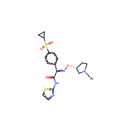 CC(=O)N1CC[C@@H](O/N=C(/C(=O)Nc2nccs2)c2ccc(S(=O)(=O)C3CC3)cc2)C1